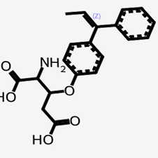 C/C=C(/c1ccccc1)c1ccc(OC(CC(=O)O)C(N)C(=O)O)cc1